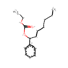 CCCCCCC(OC(=O)OCC)c1ccccc1